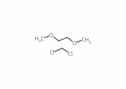 COCCOC.ClCCl